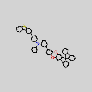 C1=CC2c3ccccc3C3(c4ccccc4-c4cc5c(cc43)Oc3cc(-c4cccc(N(c6ccccc6)C6C=CC(c7ccc8sc9ccccc9c8c7)=CC6)c4)ccc3O5)C2C=C1